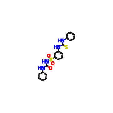 O=C(Nc1ccccc1)NS(=O)(=O)c1cccc(NC(=S)Nc2ccccc2)c1